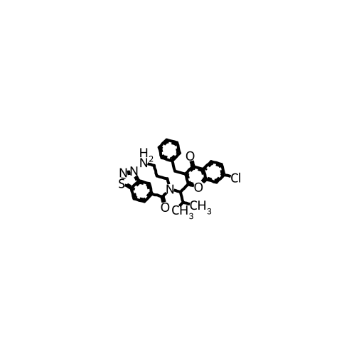 CC(C)C(c1oc2cc(Cl)ccc2c(=O)c1Cc1ccccc1)N(CCCN)C(=O)c1ccc2snnc2c1